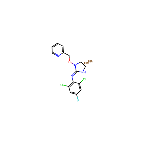 Br.Br.Fc1cc(Cl)c(/N=C2\NCCN2OCc2ccccn2)c(Cl)c1